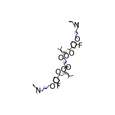 C=CCN(C)C/C=C/COc1ccc(C(=O)C[C@@H](C=C(C)C)OC(=O)/C=C/C(=O)O[C@H](C=C(C)C)CC(=O)c2ccc(OC/C=C/CN(C)CC=C)c(F)c2)cc1F